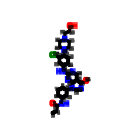 C=CC(=O)Nc1cccc(-n2cnc(=O)c3cnc(Nc4ccc(N5CCN(CCO)CC5)c(Cl)c4)nc32)c1